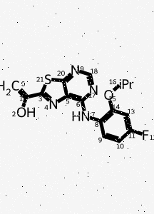 C=C(O)c1nc2c(Nc3ccc(F)cc3OC(C)C)ncnc2s1